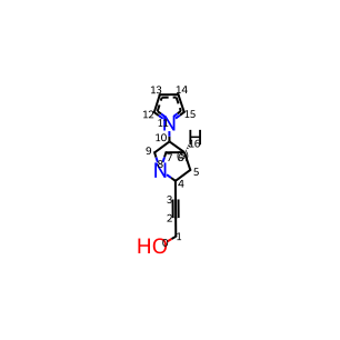 OCC#CC1C[C@H]2CN1CC2n1cccc1